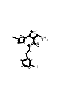 Cc1ccc(-c2noc(N)c2C(=O)NCCc2cccc(Cl)c2)o1